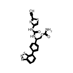 C#Cc1nc(NC(=O)NC(COC(N)=O)c2ccc(-c3cccc4nnsc34)cc2)cs1